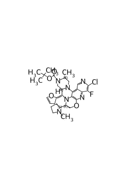 C[C@@H]1CN2c3c4c(nc5c(F)c(Cl)ncc35)OC[C@@H]([C@@H]3CCCN3C)N4C(=C3CC=CO3)[C@H]2CN1C(=O)OC(C)(C)C